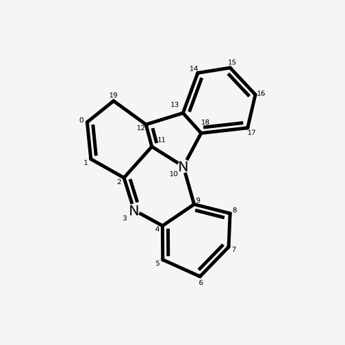 C1=Cc2nc3ccccc3n3c2c(c2ccccc23)C1